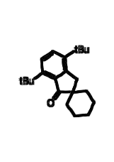 CC(C)(C)c1ccc(C(C)(C)C)c2c1CC1(CCCCC1)C2=O